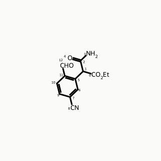 CCOC(=O)C(C(N)=O)c1cc(C#N)ccc1C=O